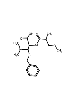 CSCC(C)C(=O)NC(C(=O)O)C(SCc1ccccc1)N(C)C